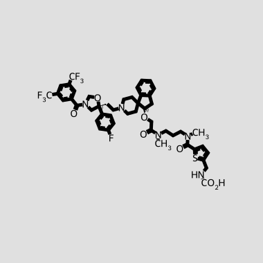 CN(CCCN(C)C(=O)c1ccc(CNC(=O)O)s1)C(=O)CO[C@H]1Cc2ccccc2C12CCN(CC[C@]1(c3ccc(F)cc3)CN(C(=O)c3cc(C(F)(F)F)cc(C(F)(F)F)c3)CO1)CC2